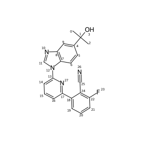 CC(C)(O)c1ccc2c(c1)ncn2-c1cccc(-c2cccc(F)c2C#N)n1